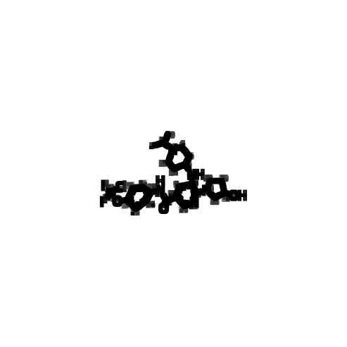 CC(C)N1CCC(Nc2cc(C(=O)Nc3ccc(OC(F)(F)Cl)cc3)cnc2N2CCC(O)C2)CC1